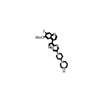 COc1cc2c(-c3cnn4cc(N5CCC(N6CCCNCC6)CC5)cnc34)ccnc2cc1F